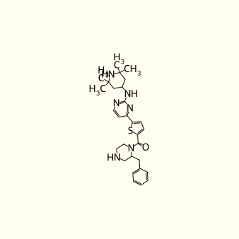 CC1(C)CC(Nc2nccc(-c3ccc(C(=O)N4CCNCC4Cc4ccccc4)s3)n2)CC(C)(C)N1